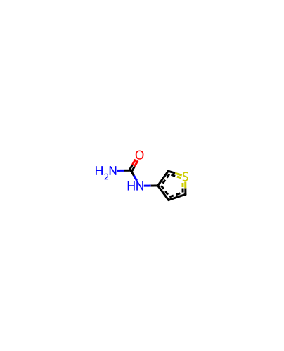 NC(=O)Nc1ccsc1